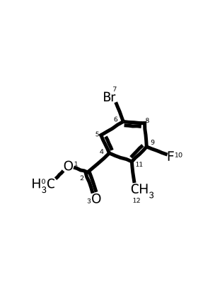 COC(=O)c1cc(Br)cc(F)c1C